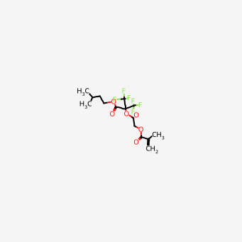 C=C(C)C(=O)OCC(=O)OC(C(=O)OCCC(C)C)(C(F)(F)F)C(F)(F)F